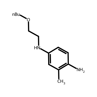 CCCCOCCNc1ccc(N)c(C)c1